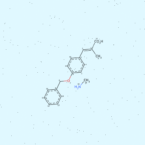 CC(=Cc1ccc(OCc2ccccc2)cc1)C(=O)O.CN